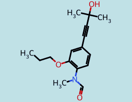 CCCOc1cc(C#CC(C)(C)O)ccc1N(C)C=O